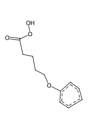 O=C(CCCCOc1ccccc1)OO